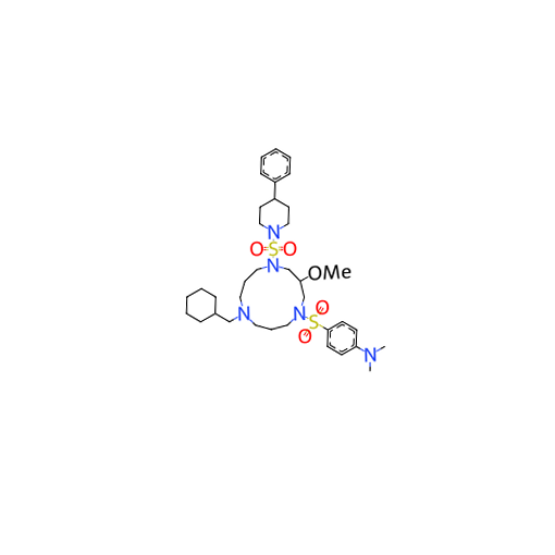 COC1CN(S(=O)(=O)c2ccc(N(C)C)cc2)CCCN(CC2CCCCC2)CCCN(S(=O)(=O)N2CCC(c3ccccc3)CC2)C1